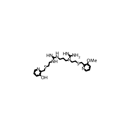 COc1cccnc1CSCCN(CCCNC(=N)NCCSCc1ncccc1O)C(=N)N